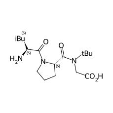 CC[C@H](C)[C@H](N)C(=O)N1CCC[C@H]1C(=O)N(CC(=O)O)C(C)(C)C